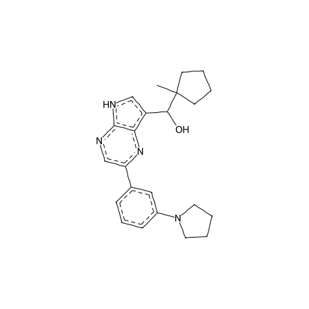 CC1(C(O)c2c[nH]c3ncc(-c4cccc(N5CCCC5)c4)nc23)CCCC1